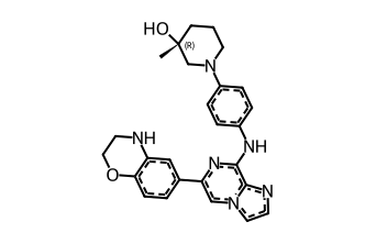 C[C@@]1(O)CCCN(c2ccc(Nc3nc(-c4ccc5c(c4)NCCO5)cn4ccnc34)cc2)C1